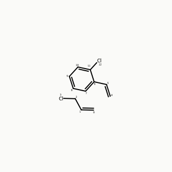 C=CCCl.C=Cc1ccccc1Cl